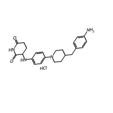 Cl.Nc1ccc(CC2CCN(c3ccc(NC4CCC(=O)NC4=O)cc3)CC2)cc1